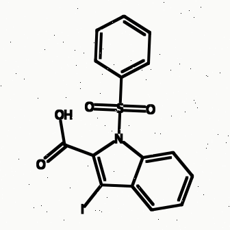 O=C(O)c1c(I)c2ccccc2n1S(=O)(=O)c1ccccc1